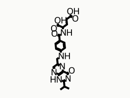 CC(C)c1nc(=O)c2nc(CNc3ccc(C(=O)NC(CCC(=O)O)C(=O)O)cc3)cnc2[nH]1